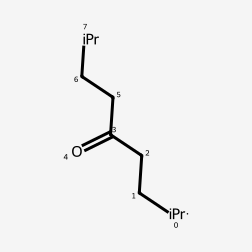 C[C](C)CCC(=O)CCC(C)C